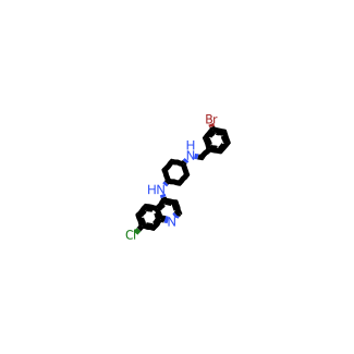 Clc1ccc2c(NC3CCC(NCc4cccc(Br)c4)CC3)ccnc2c1